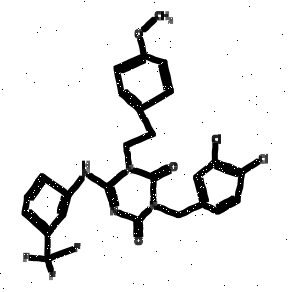 COc1ccc(CCn2c(Nc3cccc(C(F)(F)F)c3)nc(=O)n(Cc3ccc(Cl)c(Cl)c3)c2=O)cc1